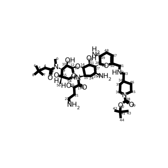 CN(C(=O)CC(C)(C)C)[C@@H]1[C@@H](O)[C@@H](O[C@H]2[C@H](NC(=O)[C@@H](O)CCN)C[C@H](N)C([C@H]3OC(CNCC4CCN(C(=O)OC(C)(C)C)CC4)=CC[C@H]3N)[C@@H]2O)OC[C@]1(C)O